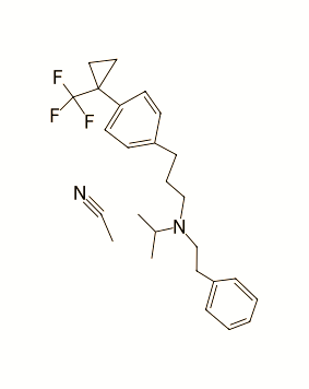 CC#N.CC(C)N(CCCc1ccc(C2(C(F)(F)F)CC2)cc1)CCc1ccccc1